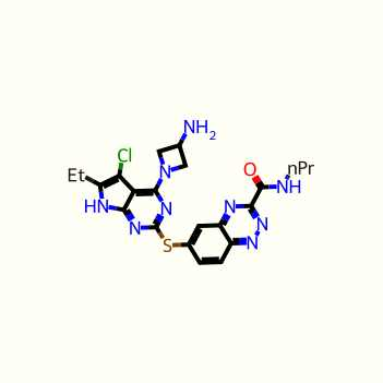 CCCNC(=O)c1nnc2ccc(Sc3nc(N4CC(N)C4)c4c(Cl)c(CC)[nH]c4n3)cc2n1